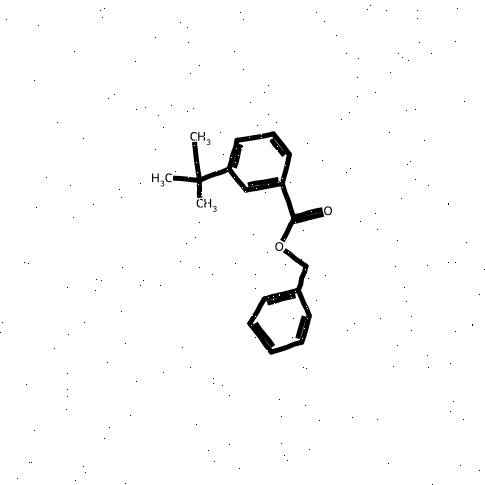 CC(C)(C)c1cccc(C(=O)OCc2ccccc2)c1